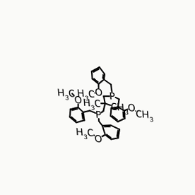 COc1ccccc1CP(Cc1ccccc1OC)CC(C)(C)CP(Cc1ccccc1OC)Cc1ccccc1OC